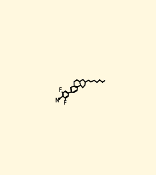 CCCCCCCC1CCC2c3ccc(-c4cc(F)c(C#N)c(F)c4)cc3CCC2C1